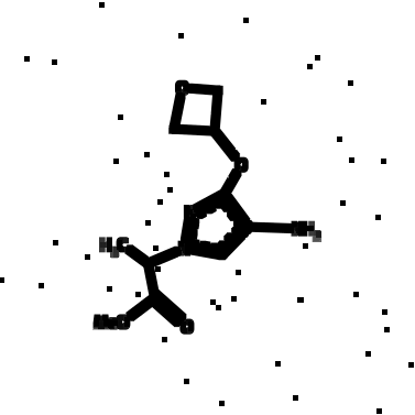 COC(=O)C(C)n1cc(N)c(OC2COC2)n1